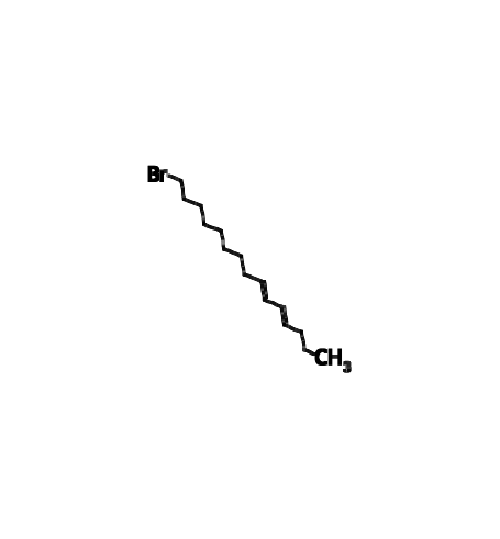 CCCC=CC=CCCCCCCCCBr